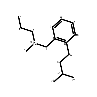 CCCN(C)Cc1ccc[c]c1CCC(C)C